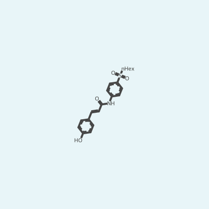 CCCCCCS(=O)(=O)c1ccc(NC(=O)C=Cc2ccc(O)cc2)cc1